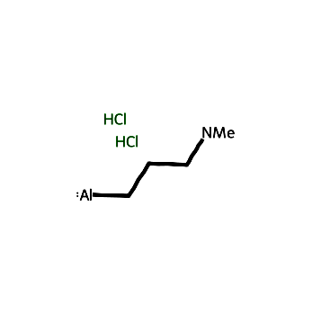 CNCC[CH2][Al].Cl.Cl